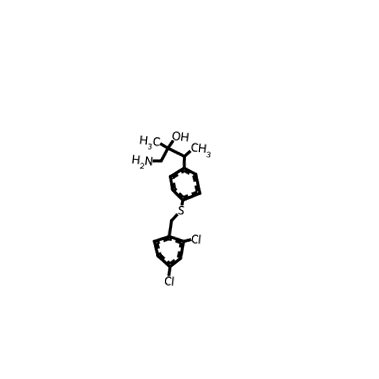 CC(c1ccc(SCc2ccc(Cl)cc2Cl)cc1)C(C)(O)CN